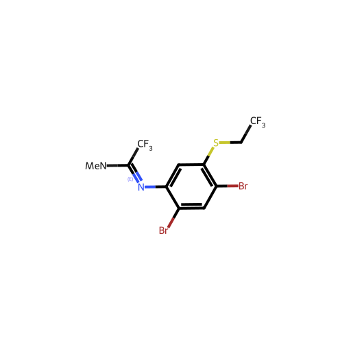 CN/C(=N/c1cc(SCC(F)(F)F)c(Br)cc1Br)C(F)(F)F